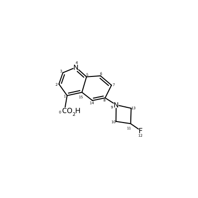 O=C(O)c1ccnc2ccc(N3CC(F)C3)cc12